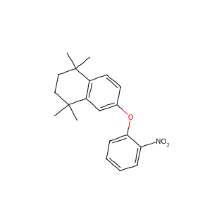 CC1(C)CCC(C)(C)c2cc(Oc3ccccc3[N+](=O)[O-])ccc21